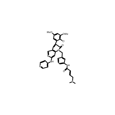 COc1cc(OC)c(Cl)c(-c2cc3cnc(Nc4ccncc4)cc3n(Cc3cccc(NC(=O)/C=C/CN(C)C)c3)c2=O)c1